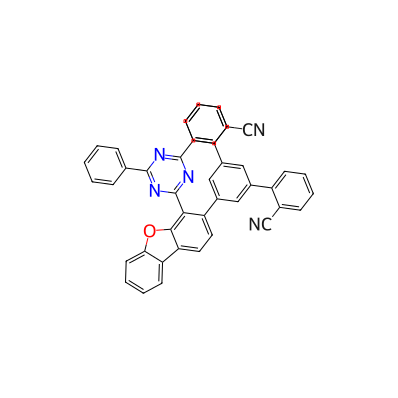 N#Cc1ccccc1-c1cc(-c2ccccc2C#N)cc(-c2ccc3c(oc4ccccc43)c2-c2nc(-c3ccccc3)nc(-c3ccccc3)n2)c1